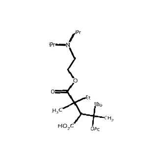 CCC(C)(C(=O)OCCN(C(C)C)C(C)C)C(C(=O)O)C(C)(OC(C)=O)C(C)(C)C